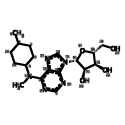 CC1CCC(N(C)c2ncnc3c2ncn3[C@@H]2O[C@H](CO)[C@@H](O)[C@H]2O)CC1